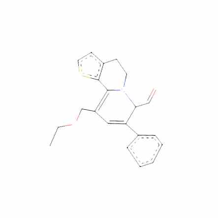 CCOCC1=C2c3sccc3CCN2C(C=O)C(c2ccccc2)=C1